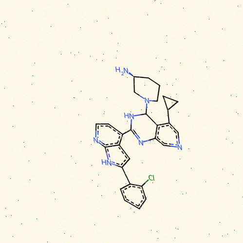 N[C@H]1CCCN(C2NC(c3ccnc4[nH]c(-c5ccccc5Cl)cc34)=Nc3cncc(C4CC4)c32)C1